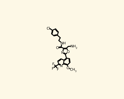 COc1ccc(-c2nc(C(=O)NCCc3ccc(Cl)cc3)c(CN)o2)c2ccc(C(F)(F)F)nc12